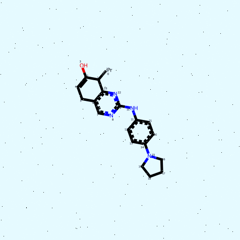 CC(C)C1C(O)=CCc2cnc(Nc3ccc(N4CCCC4)cc3)nc21